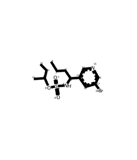 CCCC(NS(=O)(=O)OC(C)CC)c1cncc(Br)c1